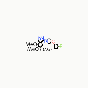 COc1cc2c(N3CCC(Oc4cccc(F)c4)CC3)nncc2c(OC)c1OC